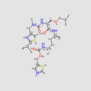 CC(C)COC[C@H](NC(=O)N(C)Cc1csc(C(C)C)n1)C(=O)N[C@@H](C)CC[C@H](C)NC(=O)OCc1cncs1